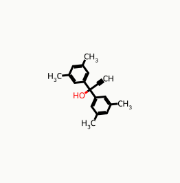 C#CC(O)(c1cc(C)cc(C)c1)c1cc(C)cc(C)c1